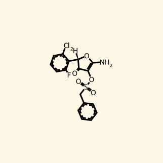 [2H][C@@]1(c2c(F)cccc2Cl)OC(N)=C(OS(=O)(=O)Cc2ccccc2)C1=O